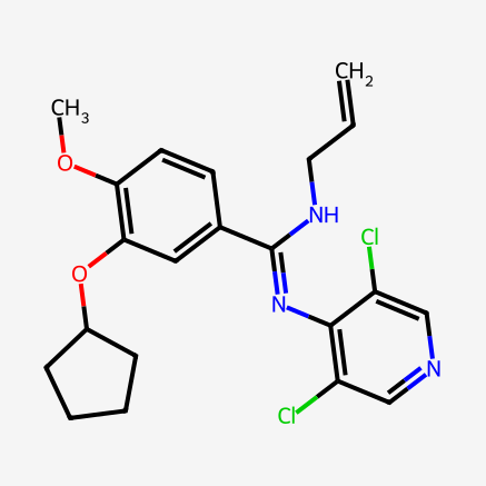 C=CCNC(=Nc1c(Cl)cncc1Cl)c1ccc(OC)c(OC2CCCC2)c1